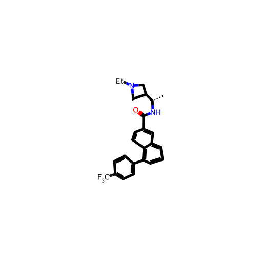 CCN1CC([C@H](C)NC(=O)c2ccc3c(-c4ccc(C(F)(F)F)cc4)cccc3c2)C1